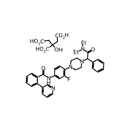 CCN(CC)C(=O)C(c1ccccc1)N1CCN(c2ccc(NC(=O)c3ccccc3-c3cccnc3)cc2F)CC1.O=C(O)CC(O)(CC(=O)O)C(=O)O